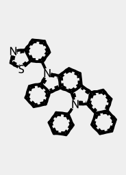 c1ccc(-n2c3c4ccccc4ccc3c3ccc4c(c5ccccc5n4-c4cccc5ncsc45)c32)cc1